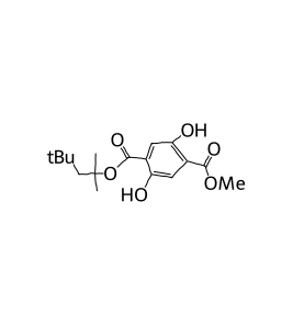 COC(=O)c1cc(O)c(C(=O)OC(C)(C)CC(C)(C)C)cc1O